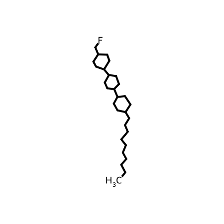 CCCCCCCCCCC1CCC(C2CCC(C3CCC(CF)CC3)CC2)CC1